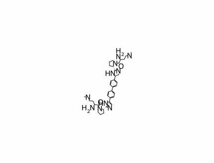 CN(C)CC[C@H](N)C(=O)N1CCC[C@H]1C1=NCC(c2ccc(-c3ccc(-c4cnc([C@@H]5CCCN5C(=O)[C@@H](N)CCN(C)C)[nH]4)cc3)cc2)N1